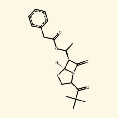 CC(OC(=O)Cc1ccccc1)[C@H]1C(=O)N2C(C(=O)C(C)(C)C)CS[C@@H]12